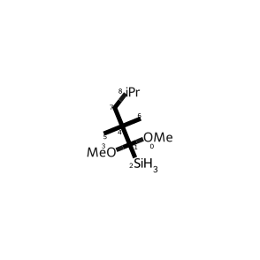 COC([SiH3])(OC)C(C)(C)CC(C)C